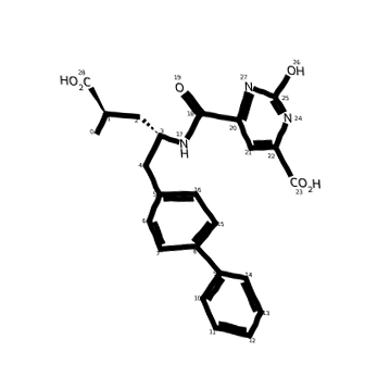 C[C@H](C[C@@H](Cc1ccc(-c2ccccc2)cc1)NC(=O)c1cc(C(=O)O)nc(O)n1)C(=O)O